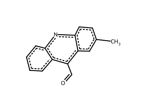 Cc1ccc2nc3ccccc3c(C=O)c2c1